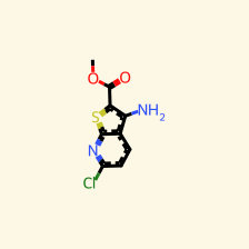 COC(=O)c1sc2nc(Cl)ccc2c1N